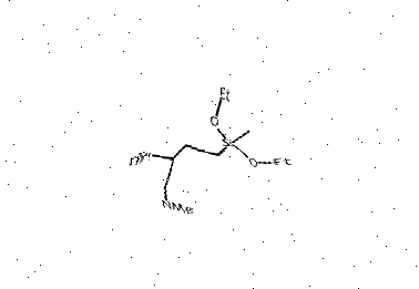 CCCC(CC[Si](C)(OCC)OCC)NC